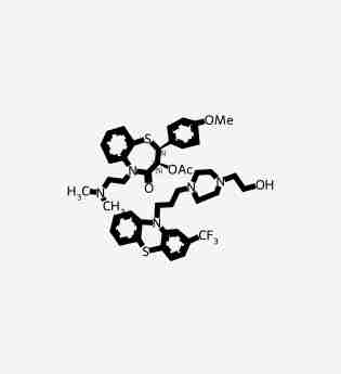 COc1ccc([C@@H]2Sc3ccccc3N(CCN(C)C)C(=O)[C@@H]2OC(C)=O)cc1.OCCN1CCN(CCCN2c3ccccc3Sc3ccc(C(F)(F)F)cc32)CC1